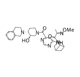 CO/N=C(\C)C(=O)N1CC2CC(C1)C2Nc1cc(C(=O)N2CC[C@@H](N3CCc4ccccc4C3)[C@H](O)C2)ncn1